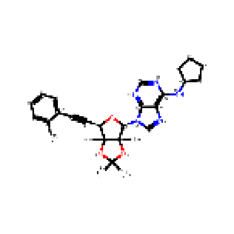 CC1(C)O[C@@H]2[C@H](O1)[C@@H](C#Cc1ccccc1C(F)(F)F)O[C@H]2n1cnc2c(NC3CCCC3)ncnc21